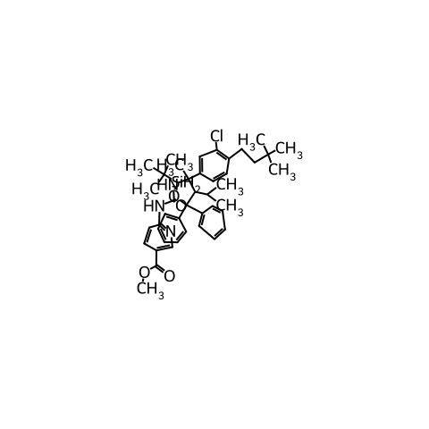 COC(=O)c1ccc(NC(=O)NC(C)(c2ccc(CCC(C)(C)C)c(Cl)c2)C(C(C)C)C(O[SiH2]C(C)(C)C)(c2ccccc2)c2ccccc2)nc1